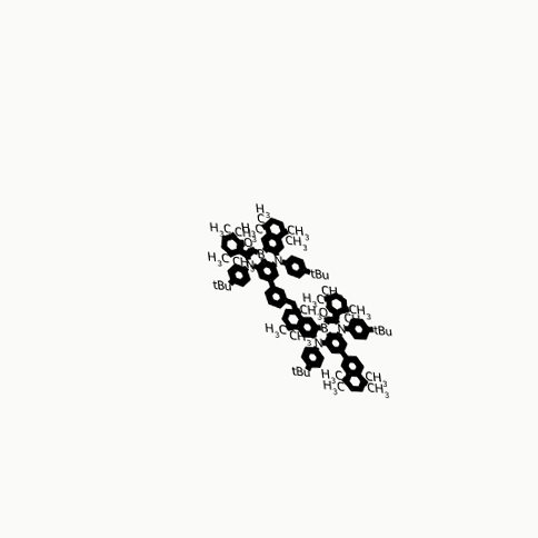 CC(C)(C)c1ccc(N2c3cc4c(cc3B3c5oc6c(c5N(c5ccc(C(C)(C)C)cc5)c5cc(-c7cccc(CC8(C)CCC(C)(C)c9cc%10c(cc98)B8c9oc%11c(c9N(c9ccc(C(C)(C)C)cc9)c9cc(-c%12ccc%13c(c%12)C(C)(C)CCC%13(C)C)cc(c98)N%10c8ccc(C(C)(C)C)cc8)C(C)(C)CCC%11(C)C)c7)cc2c53)C(C)(C)CCC6(C)C)C(C)(C)CCC4(C)C)cc1